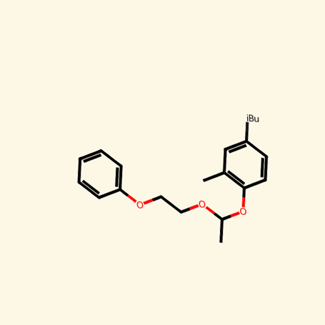 CCC(C)c1ccc(OC(C)OCCOc2ccccc2)c(C)c1